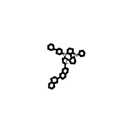 c1ccc(-c2ccc(N(c3ccc(-c4ccc5ccc(-c6ccc7ccccc7c6)cc5c4)cc3)c3cccc4c3c3ccccc3n4-c3ccccc3)cc2)cc1